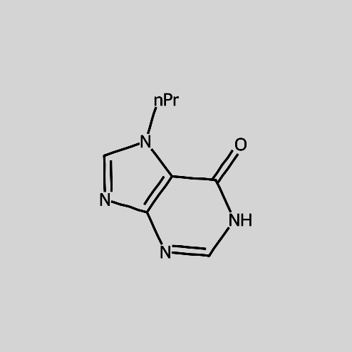 CCCn1cnc2nc[nH]c(=O)c21